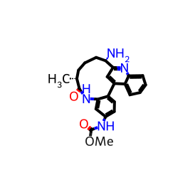 COC(=O)Nc1ccc2c(c1)NC(=O)[C@H](C)CCC[C@H](N)c1cc-2c2ccccc2n1